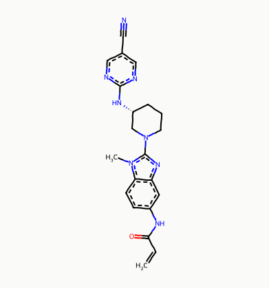 C=CC(=O)Nc1ccc2c(c1)nc(N1CCC[C@@H](Nc3ncc(C#N)cn3)C1)n2C